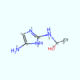 CCC(O)Nc1ncc(N)[nH]1